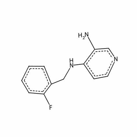 Nc1cnccc1NCc1ccccc1F